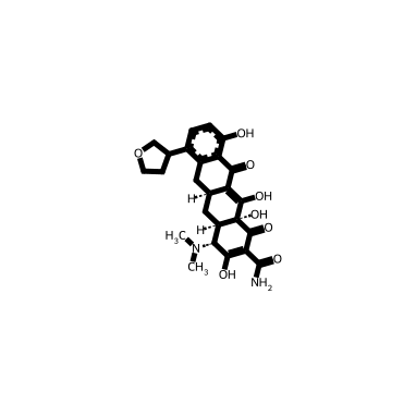 CN(C)[C@H]1C(O)=C(C(N)=O)C(=O)[C@]2(O)C(O)=C3C(=O)c4c(O)ccc(C5CCOC5)c4C[C@@H]3C[C@H]12